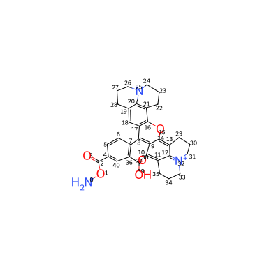 NOC(=O)c1ccc(C2=c3cc4c5c(c3Oc3c2cc2c6c3CCCN6CCC2)CCC[N+]=5CCC4)c(C(=O)O)c1